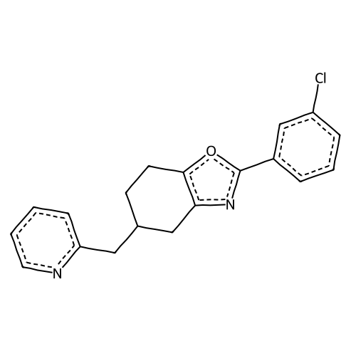 Clc1cccc(-c2nc3c(o2)CCC(Cc2ccccn2)C3)c1